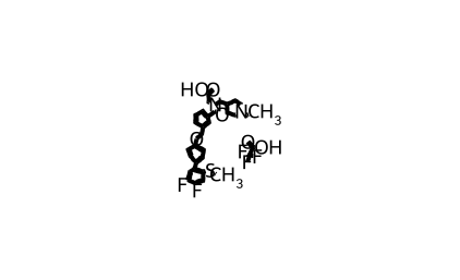 CCN1CCC(CN(CC(=O)O)C(=O)c2cccc(COc3ccc(-c4cc(F)c(F)cc4SC)cc3)c2)CC1.O=C(O)C(F)(F)F